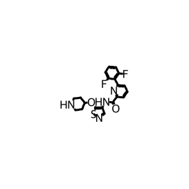 O=C(Nc1cnsc1OC1CCNCC1)c1cccc(-c2c(F)cccc2F)n1